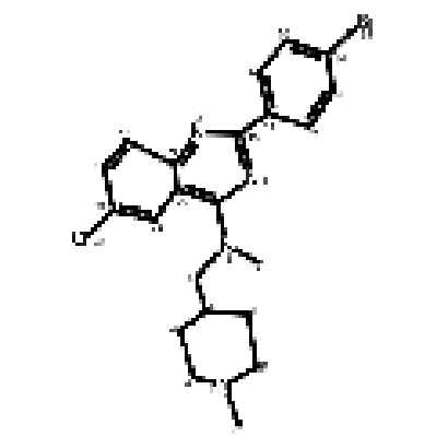 CN1CCC(CN(C)c2nc(-c3ccc(Br)cc3)nc3ccc(Cl)cc23)CC1